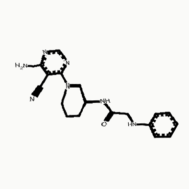 N#Cc1c(N)ncnc1N1CCCC(NC(=O)CNc2ccccc2)C1